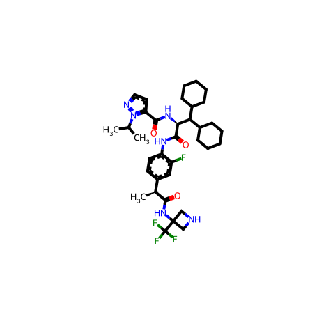 CC(C)n1nccc1C(=O)N[C@H](C(=O)Nc1ccc([C@H](C)C(=O)NC2(C(F)(F)F)CNC2)cc1F)C(C1CCCCC1)C1CCCCC1